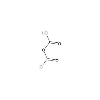 [O]C(=O)OC(=O)O